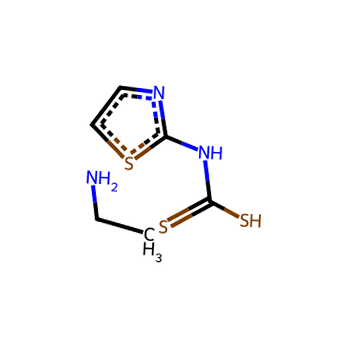 CCN.S=C(S)Nc1nccs1